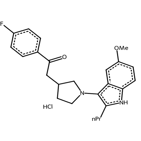 CCCc1[nH]c2ccc(OC)cc2c1N1CCC(CC(=O)c2ccc(F)cc2)C1.Cl